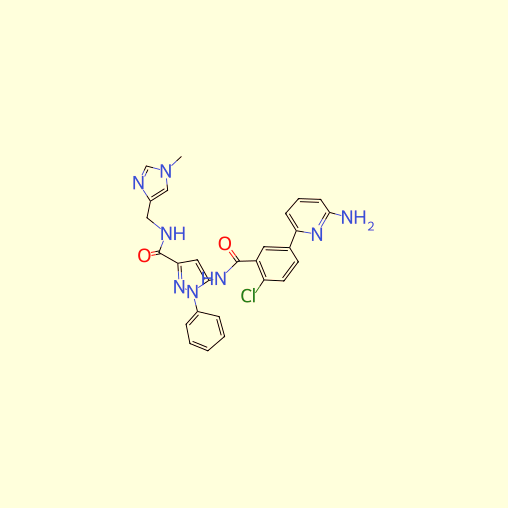 Cn1cnc(CNC(=O)c2cc(NC(=O)c3cc(-c4cccc(N)n4)ccc3Cl)n(-c3ccccc3)n2)c1